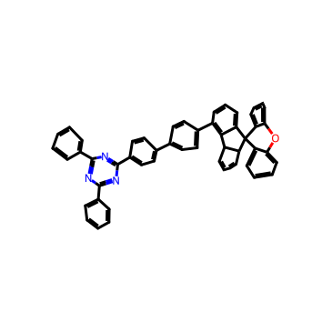 C1=CC2c3c(-c4ccc(-c5ccc(-c6nc(-c7ccccc7)nc(-c7ccccc7)n6)cc5)cc4)cccc3C3(c4ccccc4Oc4ccccc43)C2C=C1